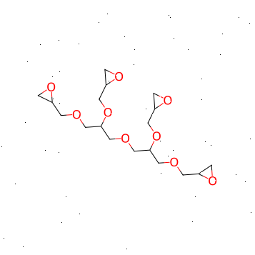 C(OCC(COCC1CO1)OCC1CO1)C(COCC1CO1)OCC1CO1